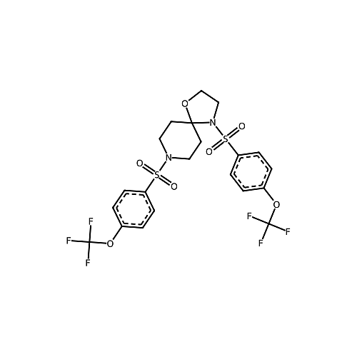 O=S(=O)(c1ccc(OC(F)(F)F)cc1)N1CCC2(CC1)OCCN2S(=O)(=O)c1ccc(OC(F)(F)F)cc1